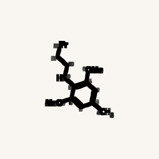 COc1cc(C)cc(OC)c1NCCC(C)C